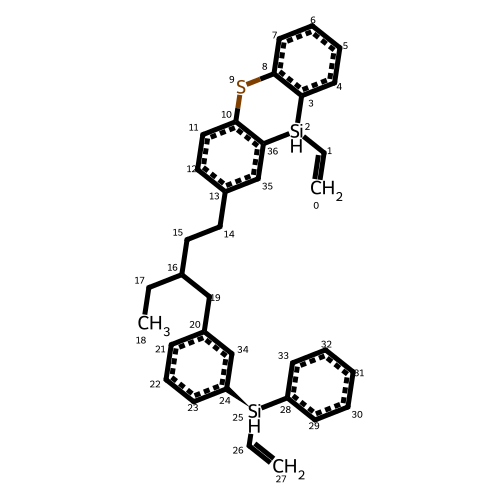 C=C[SiH]1c2ccccc2Sc2ccc(CCC(CC)Cc3cccc([Si@H](C=C)c4ccccc4)c3)cc21